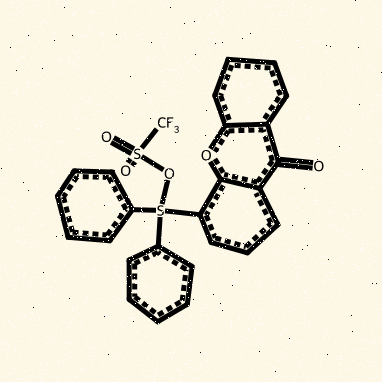 O=c1c2ccccc2oc2c(S(OS(=O)(=O)C(F)(F)F)(c3ccccc3)c3ccccc3)cccc12